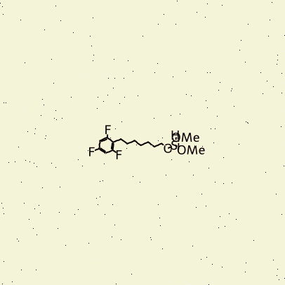 CO[SiH](OC)OCCCCCCCc1c(F)cc(F)cc1F